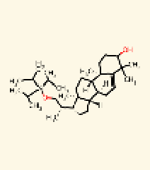 CC(C)[Si](OC[C@@H](C)[C@H]1CC[C@H]2[C@@H]3CC=C4C(C)(C)C(O)CC[C@]4(C)[C@H]3CC[C@]12C)(C(C)C)C(C)C